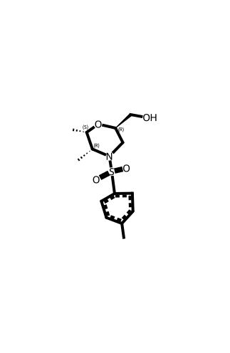 Cc1ccc(S(=O)(=O)N2C[C@H](CO)O[C@@H](C)[C@H]2C)cc1